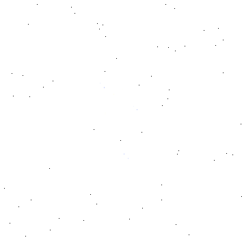 Cc1[nH]c2c(C(N)=O)cc(F)c(C3=CCCNC3)c2c1C